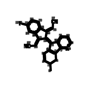 CC1C=CC2=C(C1)c1ncccc1/C2=C1C(=C\C#N)\c2ccc(F)cc2C\1=C/C#N